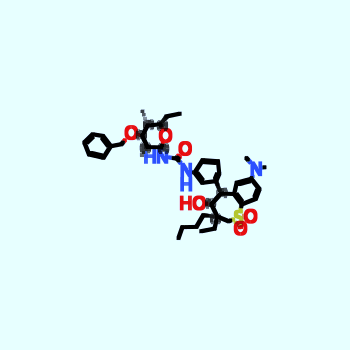 CCCC[C@]1(CC)CS(=O)(=O)c2ccc(N(C)C)cc2[C@H](c2cccc(NC(=O)N[C@@H]3O[C@H](CC)[C@@H](C)[C@H](OCc4ccccc4)[C@H]3C)c2)[C@@H]1O